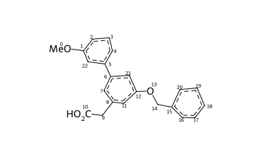 COc1cccc(-c2cc(CC(=O)O)cc(OCc3ccccc3)c2)c1